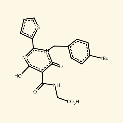 CC(C)(C)c1ccc(Cn2c(-c3cccs3)nc(O)c(C(=O)NCC(=O)O)c2=O)cc1